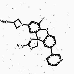 COC1CN(c2cc(F)c3c(c2)[C@]2(COC(N)=N2)c2cc(-c4cccnc4)ccc2O3)C1